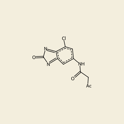 CC(=O)CC(=O)Nc1cc(Cl)c2c(c1)=NC(=O)N=2